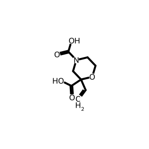 C=CC1(C(=O)O)CN(C(=O)O)CCO1